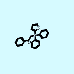 O=C(CS(c1ccccc1)(c1ccccc1)c1cccs1)c1ccccc1